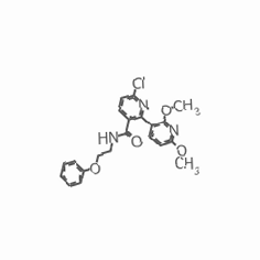 COc1ccc(-c2nc(Cl)ccc2C(=O)NCCOc2ccccc2)c(OC)n1